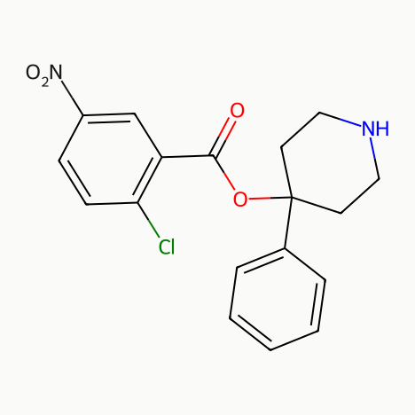 O=C(OC1(c2ccccc2)CCNCC1)c1cc([N+](=O)[O-])ccc1Cl